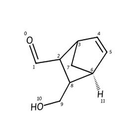 O=CC1C2C=C[C@H](C2)C1CO